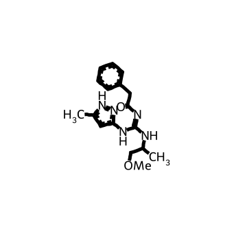 COCC(C)N/C(=N/C(=O)Cc1ccccc1)Nc1cc(C)[nH]n1